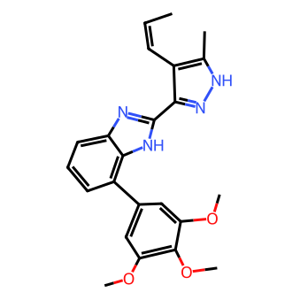 C/C=C\c1c(-c2nc3cccc(-c4cc(OC)c(OC)c(OC)c4)c3[nH]2)n[nH]c1C